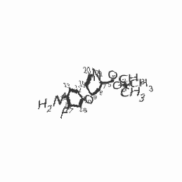 CC(C)(C)OC(=O)c1cc(Oc2ccc(N)c(F)c2)ccn1